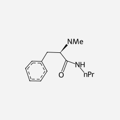 CCCNC(=O)[C@@H](Cc1ccccc1)NC